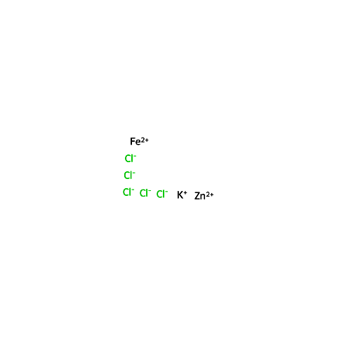 [Cl-].[Cl-].[Cl-].[Cl-].[Cl-].[Fe+2].[K+].[Zn+2]